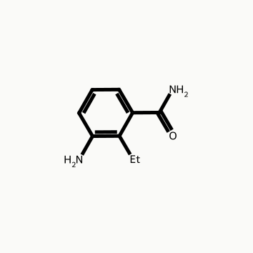 CCc1c(N)cccc1C(N)=O